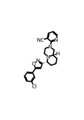 N#Cc1cccnc1N1CCN2[C@@H](CCC[C@@H]2c2cc(-c3cccc(Cl)c3)on2)C1